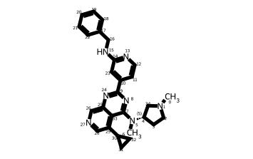 CN1CC[C@H](N(C)c2nc(-c3ccnc(NCc4ccccc4)c3)nc3cncc(C4CC4)c23)C1